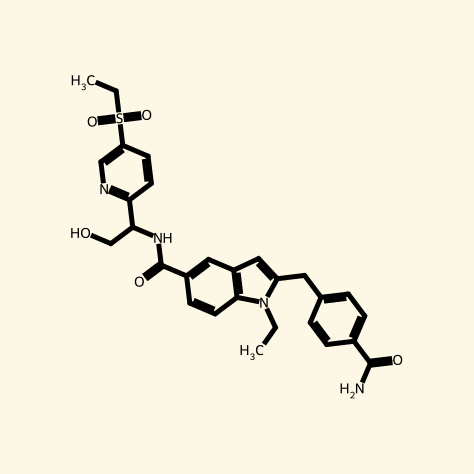 CCn1c(Cc2ccc(C(N)=O)cc2)cc2cc(C(=O)NC(CO)c3ccc(S(=O)(=O)CC)cn3)ccc21